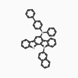 c1ccc(-c2ccc(N(c3ccccc3)c3cc4c5ccccc5oc4c4c3c3ccccc3n4-c3ccc4ccccc4c3)cc2)cc1